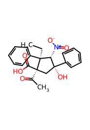 CC[C@]1(c2ccccc2)[C@H]([N+](=O)[O-])[C@@](O)(c2ccccc2)C[C@@]1(C(C)=O)C(=O)O